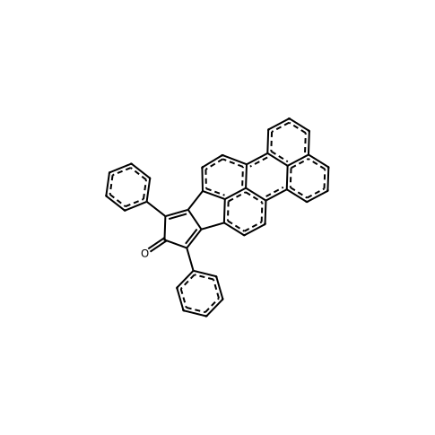 O=C1C(c2ccccc2)=C2C(=C1c1ccccc1)c1ccc3c4cccc5cccc(c6ccc2c1c63)c54